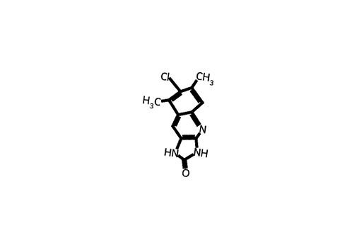 Cc1cc2nc3[nH]c(=O)[nH]c3cc2c(C)c1Cl